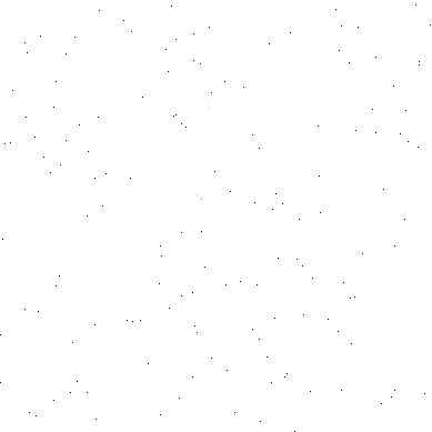 C=C(c1cc(F)c(Br)cc1NS(=O)(=O)c1ccc(C)cc1)C(F)(F)F